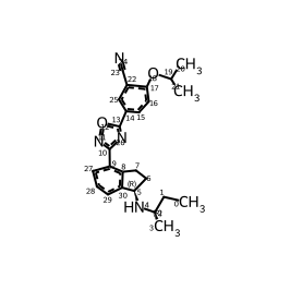 CC[C@@H](C)N[C@@H]1CCc2c(-c3noc(-c4ccc(OC(C)C)c(C#N)c4)n3)cccc21